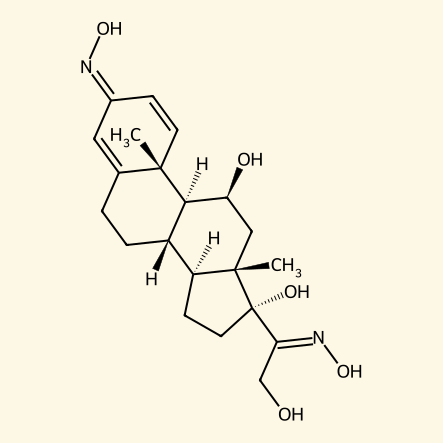 C[C@]12C=C/C(=N\O)C=C1CC[C@@H]1[C@@H]2[C@@H](O)C[C@@]2(C)[C@H]1CC[C@]2(O)/C(CO)=N/O